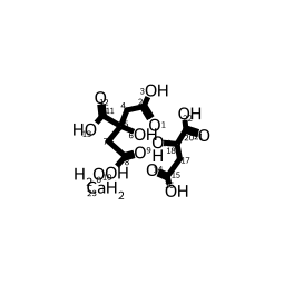 O.O=C(O)CC(O)(CC(=O)O)C(=O)O.O=C(O)CC(O)C(=O)O.[CaH2]